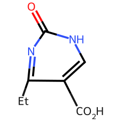 CCc1nc(=O)[nH]cc1C(=O)O